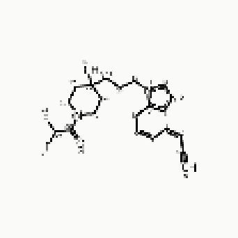 C#C/C=C\C=C/Cc1cncn1CCCC1(C)CCN(C(=O)C(F)F)CC1